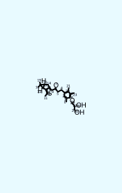 Cc1cc(CCC(=O)c2sc(C)c3c2C[C@@H]2[C@H]3C2(C)C)c(C)c(C)c1OC[C@H](O)CO